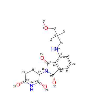 COCC(C)(C)CNc1cccc2c1C(=O)N(C1CCC(=O)NC1=O)C2=O